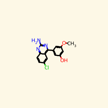 COc1cc(O)cc(-c2nc(N)nc3ccc(Cl)cc23)c1